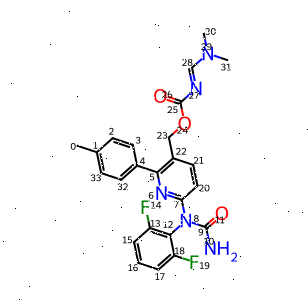 Cc1ccc(-c2nc(N(C(N)=O)c3c(F)cccc3F)ccc2COC(=O)/N=C/N(C)C)cc1